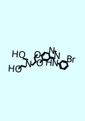 OCCN(CCO)CC1COc2cc3ncnc(Nc4cccc(Br)c4)c3cc2O1